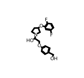 OCc1ccc(OCC(O)N2CCC(Oc3cc(F)ccc3F)C2)cc1